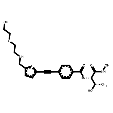 C[C@H](O)[C@H](NC(=O)c1ccc(C#Cc2ccc(CNCCOCCO)o2)cc1)C(=O)NO